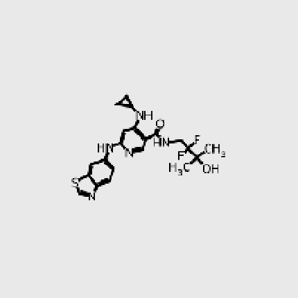 CC(C)(O)C(F)(F)CNC(=O)c1cnc(Nc2ccc3ncsc3c2)cc1NC1CC1